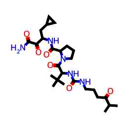 CC(C)C(=O)CCCNC(=O)NC(C(=O)N1CCCC1C(=O)NC(CC1CC1)C(=O)C(N)=O)C(C)(C)C